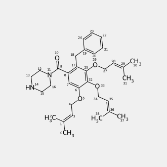 CC(C)=CCOc1cc(C(=O)N2CCNCC2)c(Cc2ccccc2)c(OCC=C(C)C)c1OCC=C(C)C